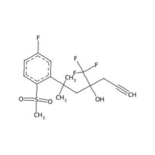 C#CCC(O)(CC(C)(C)c1cc(F)ccc1S(C)(=O)=O)C(F)(F)F